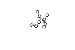 c1ccc(-c2ccc(N(c3ccc(-c4cccc5c4oc4ccccc45)cc3)c3cc(-c4ccccc4)cc4c3oc3c5ccccc5ccc43)cc2)cc1